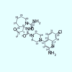 CC(=O)CC1(NC(=O)N2CCN(c3cc(N)nc4cc(Cl)ccc34)CC2)CCCCCN1C(N)=O